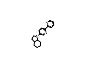 c1ccc(-c2ccc(N3CCC4CCCCC43)cn2)nc1